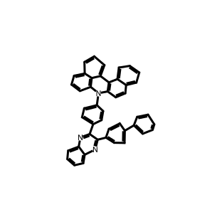 c1ccc(-c2ccc(-c3nc4ccccc4nc3-c3ccc(N4c5ccc6ccccc6c5-c5cccc6cccc4c56)cc3)cc2)cc1